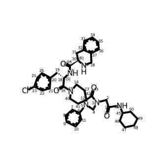 O=C(CN1CN(c2ccccc2)C2(CCN(C(=O)[C@H](Cc3ccc(Cl)cc3)NC(=O)[C@H]3Cc4ccccc4CN3)CC2)C1=O)NC1CCCCC1